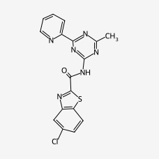 Cc1nc(NC(=O)c2nc3cc(Cl)ccc3s2)nc(-c2ccccn2)n1